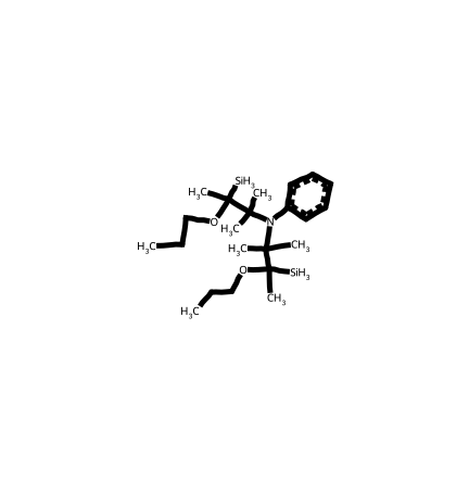 CCCOC(C)([SiH3])C(C)(C)N(c1ccccc1)C(C)(C)C(C)([SiH3])OCCC